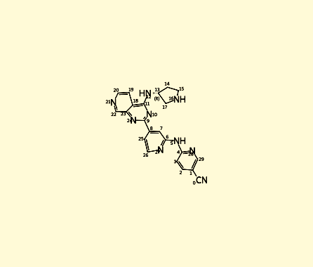 N#Cc1ccc(Nc2cc(-c3nc(N[C@@H]4CCNC4)c4ccncc4n3)ccn2)nc1